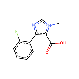 Cn1cnc(-c2ccccc2F)c1C(=O)O